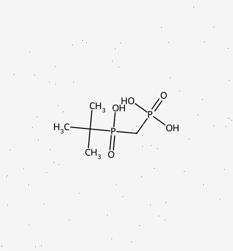 CC(C)(C)P(=O)(O)CP(=O)(O)O